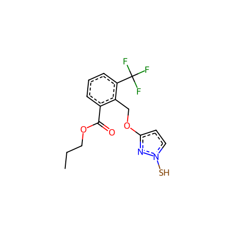 CCCOC(=O)c1cccc(C(F)(F)F)c1COc1ccn(S)n1